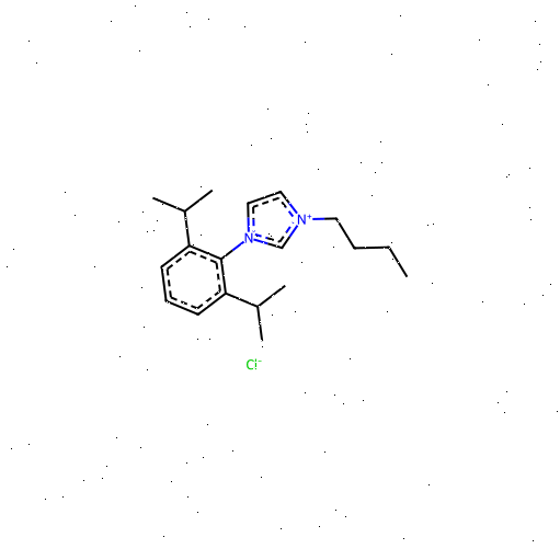 CCCC[n+]1ccn(-c2c(C(C)C)cccc2C(C)C)c1.[Cl-]